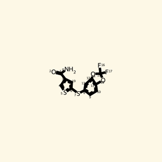 NC(=O)c1csc(Sc2ccc3c(c2)OC(F)(F)O3)c1